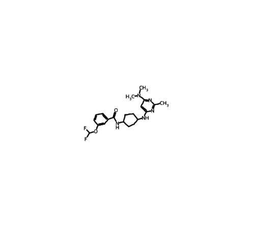 Cc1nc(NC2CCC(NC(=O)c3cccc(OC(F)F)c3)CC2)cc(N(C)C)n1